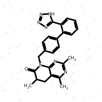 Cc1nc(C)c2c(n1)N(Cc1ccc(-c3ccccc3-c3nnn[nH]3)cc1)C(=O)C(C)C2